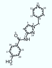 O=C(Nc1ccn(Cc2ccncc2)n1)c1ccc(O)cc1